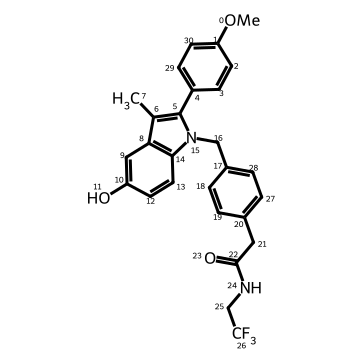 COc1ccc(-c2c(C)c3cc(O)ccc3n2Cc2ccc(CC(=O)NCC(F)(F)F)cc2)cc1